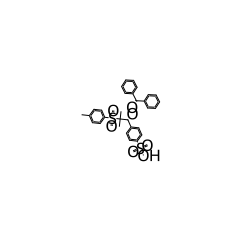 Cc1ccc(S(=O)(=O)C(C)(C)C(=O)c2ccc(S(=O)(=O)O)cc2)cc1.O=C(c1ccccc1)c1ccccc1